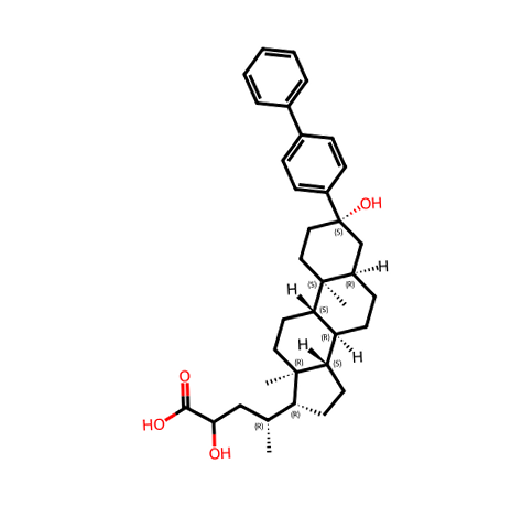 C[C@H](CC(O)C(=O)O)[C@H]1CC[C@H]2[C@@H]3CC[C@@H]4C[C@](O)(c5ccc(-c6ccccc6)cc5)CC[C@]4(C)[C@H]3CC[C@]12C